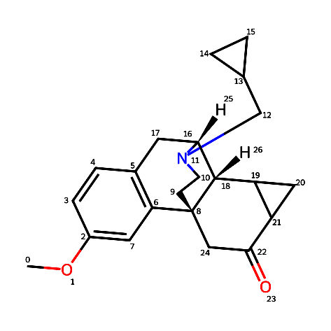 COc1ccc2c(c1)[C@]13CCN(CC4CC4)[C@H](C2)[C@@H]1C1CC1C(=O)C3